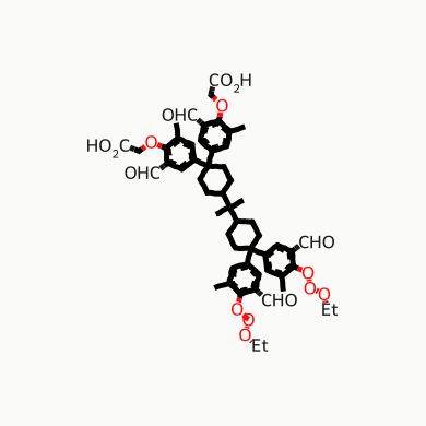 CCOOOc1c(C)cc(C2(c3cc(C)c(OOOCC)c(C=O)c3)CCC(C(C)(C)C3CCC(c4cc(C)c(OCC(=O)O)c(C=O)c4)(c4cc(C)c(OCC(=O)O)c(C=O)c4)CC3)CC2)cc1C=O